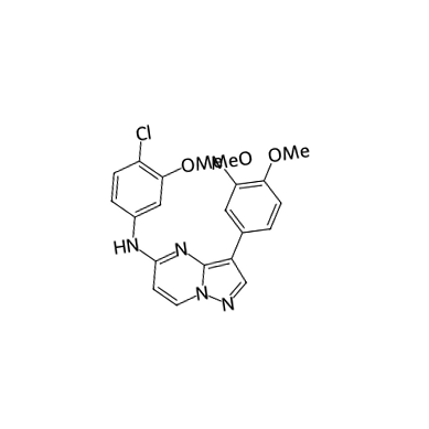 COc1cc(Nc2ccn3ncc(-c4ccc(OC)c(OC)c4)c3n2)ccc1Cl